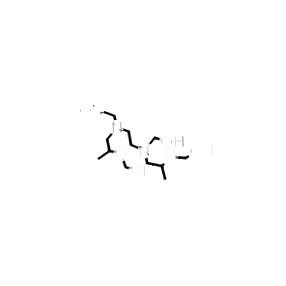 CC(CN(CO)CCN(CN=O)CC(C)OCO)OCO